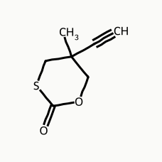 C#CC1(C)COC(=O)SC1